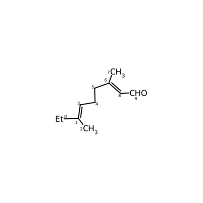 CCC(C)=CCCC(C)=CC=O